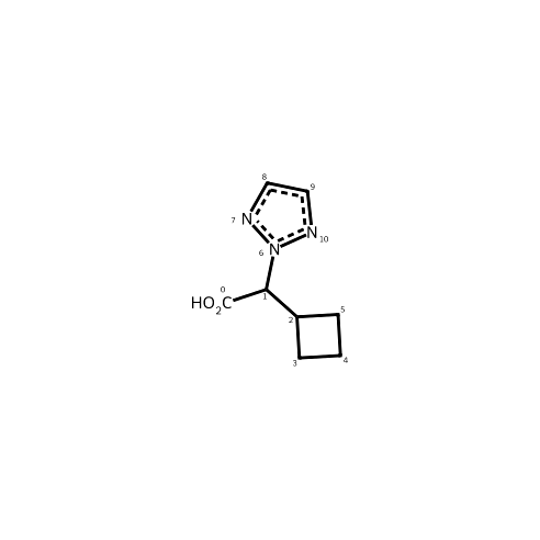 O=C(O)C(C1CCC1)n1nccn1